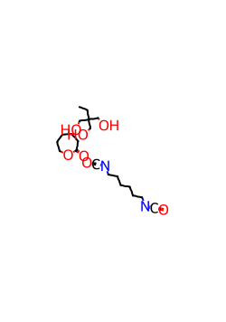 CCC(CO)(CO)CO.O=C1CCCCCO1.O=C=NCCCCCCN=C=O